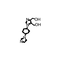 OCc1ncn(-c2ccc(-n3ccnc3)cc2)c1CO